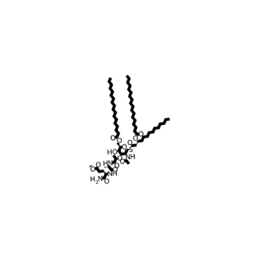 CCCCCCCCCCCCCCCCCC(=O)OC[C@H]1O[C@@H](SC(=O)C[C@@H](CCCCCCCCCCC)OC(=O)CCCCCCCCCCCCCCCCC)[C@H](NC(C)=O)[C@H](OC(C)C(=O)N[C@@H](C)C(=O)N[C@H](CCC(=O)OC)C(N)=O)[C@@H]1O